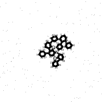 c1ccc(-c2ccccc2-c2ccc(N(c3cccc4c3oc3ccccc34)c3ccc(-c4ccccc4)c4c3oc3c(-c5ccccc5)cccc34)cc2)cc1